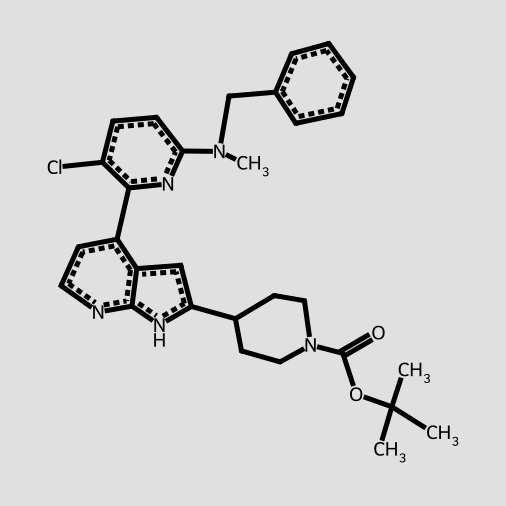 CN(Cc1ccccc1)c1ccc(Cl)c(-c2ccnc3[nH]c(C4CCN(C(=O)OC(C)(C)C)CC4)cc23)n1